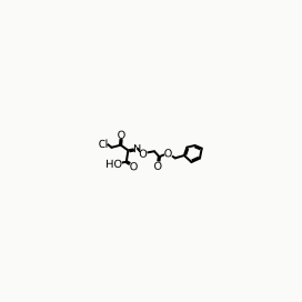 O=C(CON=C(C(=O)O)C(=O)CCl)OCc1ccccc1